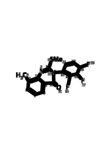 CSc1nc2c(C)cccc2c(=O)n1C1=C(F)C(F)C(F)C=C1